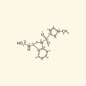 Cn1cnc(S(=O)(=O)N2CC(NC(=O)O)c3ccccc32)c1